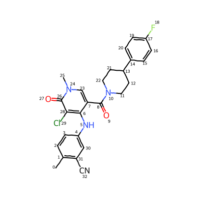 Cc1ccc(Nc2c(C(=O)N3CCC(c4ccc(F)cc4)CC3)cn(C)c(=O)c2Cl)cc1C#N